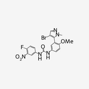 COc1ccc(NC(=O)Nc2ccc(F)c([N+](=O)[O-])c2)cc1-c1c(Br)cnn1C